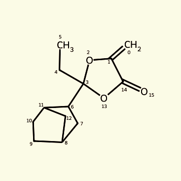 C=C1OC(CC)(C2CC3CCC2C3)OC1=O